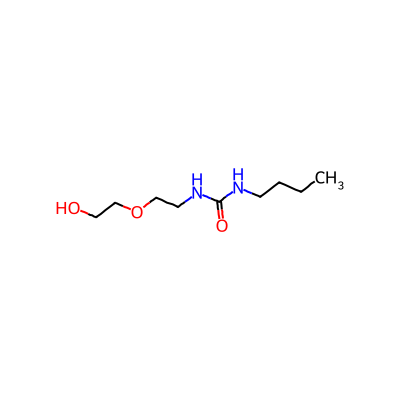 CCCCNC(=O)NCCOCCO